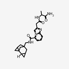 CC(NC(=O)Cc1cn2c(C(=O)NCC34CC5C[C@@H]5C5(CC5C3)C4)cccc2n1)C(N)=O